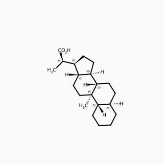 C[C@@H](C(=O)O)[C@H]1CC[C@@H]2[C@@H]1CC[C@]1(C)[C@H]3CCCC[C@@H]3CC[C@@H]21